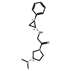 CN(C)[C@H]1CCN(C(=O)CN[C@@H]2C[C@H]2c2ccccc2)C1